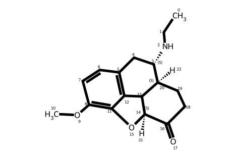 CCN[C@H]1Cc2ccc(OC)c3c2C2[C@H](O3)C(=O)CC[C@@H]21